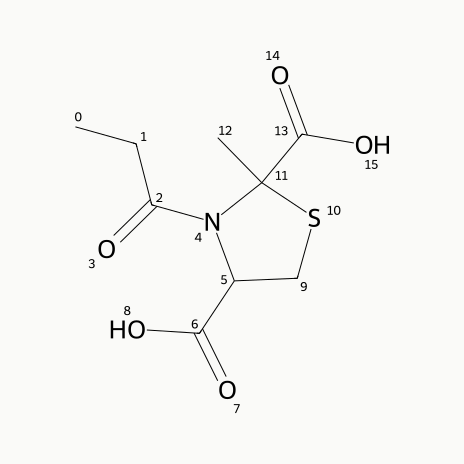 CCC(=O)N1C(C(=O)O)CSC1(C)C(=O)O